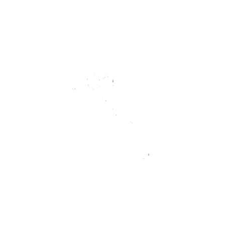 COc1ccc2nccc([C@H](F)CC[C@@H]3CCN(CCSc4ccccc4C(F)(F)F)C[C@H]3CCC(=O)O)c2c1